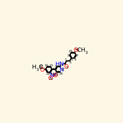 COc1ccc(CCC(=O)Nc2cc(-c3ccc(OC)cc3[N+](=O)[O-])ccn2)cc1